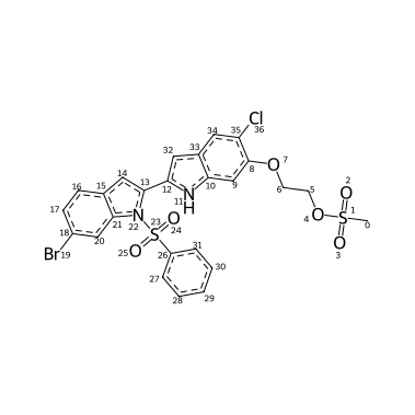 CS(=O)(=O)OCCOc1cc2[nH]c(-c3cc4ccc(Br)cc4n3S(=O)(=O)c3ccccc3)cc2cc1Cl